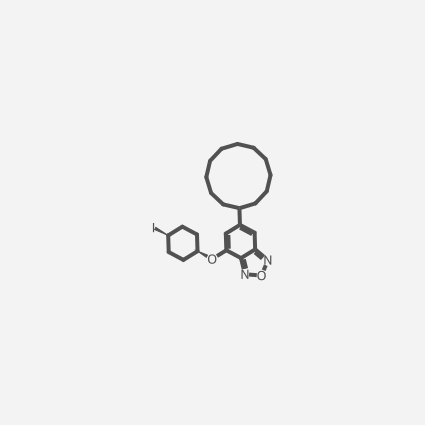 I[C@H]1CC[C@@H](Oc2cc(C3CCCCCCCCCCC3)cc3nonc23)CC1